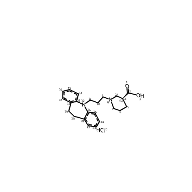 Cl.O=C(O)[C@H]1CCCN(CCCN2c3ccccc3CCc3ccccc32)C1